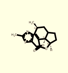 Cc1ncc(CO[C@]23C4=C[C@@H](C)CC2CC[C@H]3OC4=O)s1